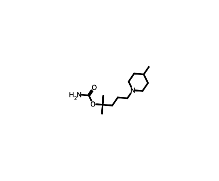 CC1CCN(CCCC(C)(C)OC(N)=O)CC1